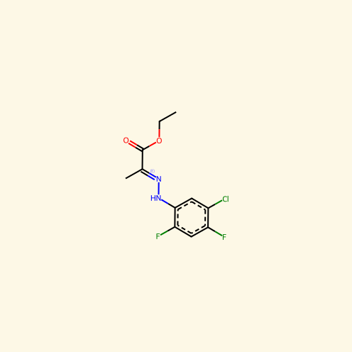 CCOC(=O)/C(C)=N/Nc1cc(Cl)c(F)cc1F